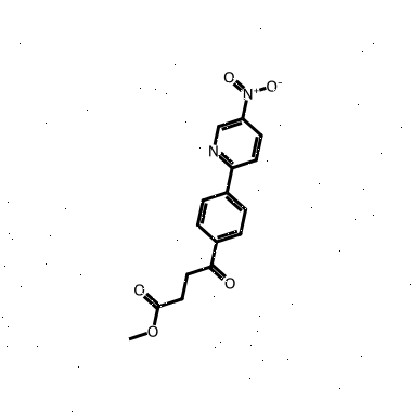 COC(=O)CCC(=O)c1ccc(-c2ccc([N+](=O)[O-])cn2)cc1